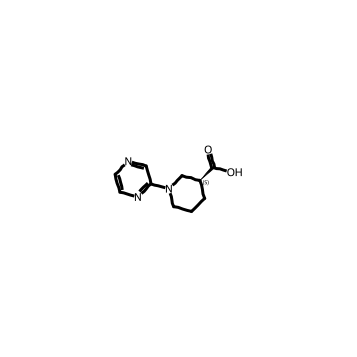 O=C(O)[C@H]1CCCN(c2cnccn2)C1